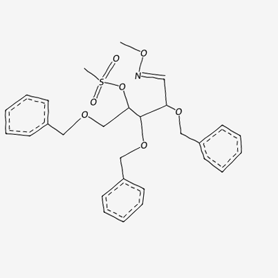 CON=CC(OCc1ccccc1)C(OCc1ccccc1)C(COCc1ccccc1)OS(C)(=O)=O